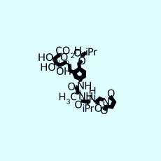 CC(C)C(=O)OCc1ccc(NC(=O)[C@H](C)NC(=O)[C@@H](NC(=O)CN2C(=O)C=CC2=O)C(C)C)cc1CC[C@@H]1O[C@H](C(=O)O)[C@@H](O)[C@H](O)[C@H]1O